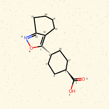 O=C(O)[C@H]1CC[C@H](c2onc3c2CCCC3)CC1